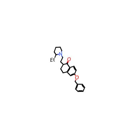 CCC1CCCCN1CCC1CCc2cc(OCc3ccccc3)ccc2C1=O